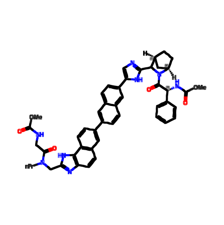 CCCN(Cc1nc2ccc3cc(-c4ccc5cc(-c6cnc(C7[C@H]8CC[C@H](C8)N7C(=O)[C@H](NC(=O)OC)c7ccccc7)[nH]6)ccc5c4)ccc3c2[nH]1)C(=O)CNC(=O)OC